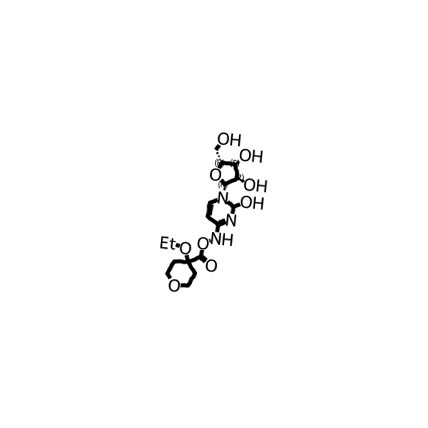 CCOC1(C(=O)ONC2=NC(O)N([C@@H]3O[C@H](CO)[C@@H](O)[C@H]3O)C=C2)CCOCC1